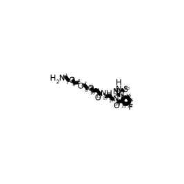 NCCOCCOCCOC=CC(=O)NCCCn1c(=O)c2cc(F)ccc2n2c(=S)[nH]nc12